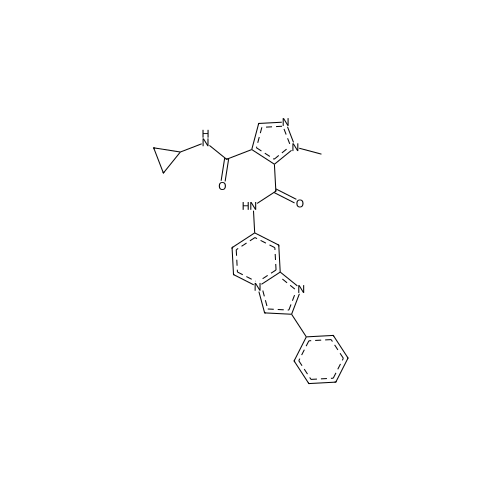 Cn1ncc(C(=O)NC2CC2)c1C(=O)Nc1ccn2cc(-c3ccccc3)nc2c1